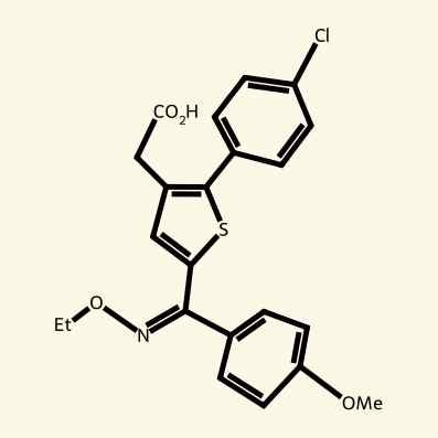 CCON=C(c1ccc(OC)cc1)c1cc(CC(=O)O)c(-c2ccc(Cl)cc2)s1